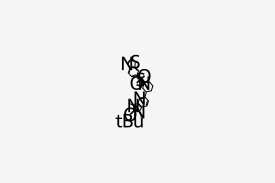 Cn1c(=O)n(CC(C)(C)C)c2ccc(C3CCCN(S(=O)(=O)c4ccc5ncsc5c4)C3)nc21